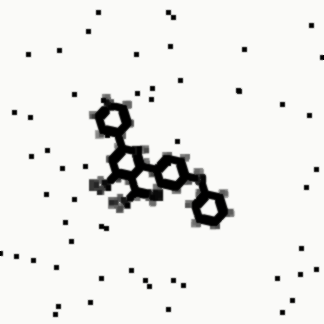 N=C(N)c1c(N)cc(-c2ccncc2)nc1-c1ccc(Oc2ccccc2)cc1